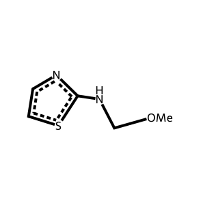 COCNc1nccs1